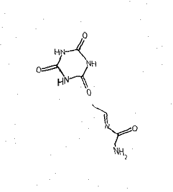 CC=NC(N)=O.O=c1[nH]c(=O)[nH]c(=O)[nH]1